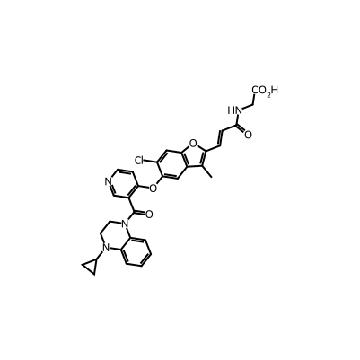 Cc1c(/C=C/C(=O)NCC(=O)O)oc2cc(Cl)c(Oc3ccncc3C(=O)N3CCN(C4CC4)c4ccccc43)cc12